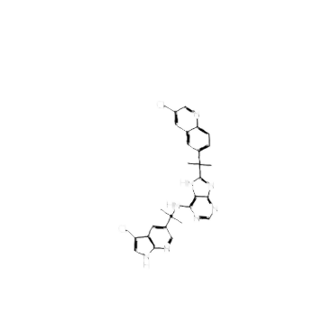 CC(C)(Nc1ncnc2nc(C(C)(C)c3ccc4ncc(Cl)cc4c3)[nH]c12)c1cnc2[nH]cc(Cl)c2c1